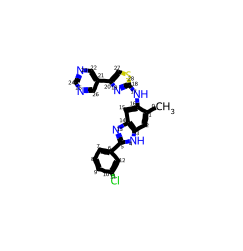 Cc1cc2[nH]c(-c3cccc(Cl)c3)nc2cc1Nc1nc(-c2cncnc2)cs1